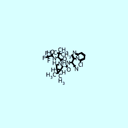 CC(C)(C)[C@H](NC(=O)C(F)(F)F)C(=O)N1C[C@H]2[C@@H]([C@H]1C(=O)NC(C#N)c1cnc3cccc(Cl)n13)C2(C)C